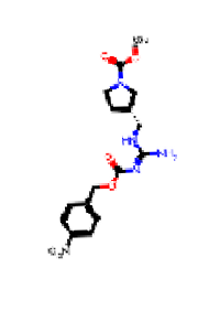 CC(C)(C)OC(=O)N1CC[C@@H](CNC(N)=NC(=O)OCc2ccc([N+](=O)[O-])cc2)C1